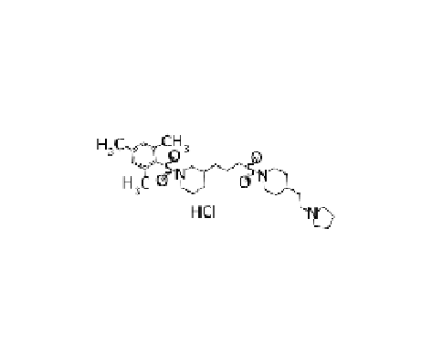 Cc1cc(C)c(S(=O)(=O)N2CCCC(CCCS(=O)(=O)N3CCC(CCN4CCCC4)CC3)C2)c(C)c1.Cl